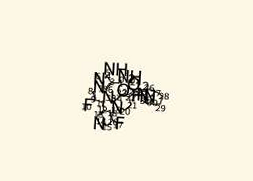 NC(=O)c1c(N)nn2cc(F)c(-c3cncc(F)c3N3CCC(C(=O)N4CC5CCC(C4)N5)CC3)nc12